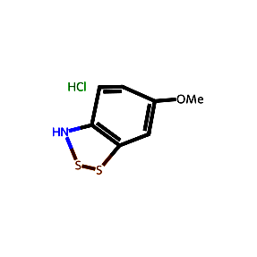 COc1ccc2c(c1)SSN2.Cl